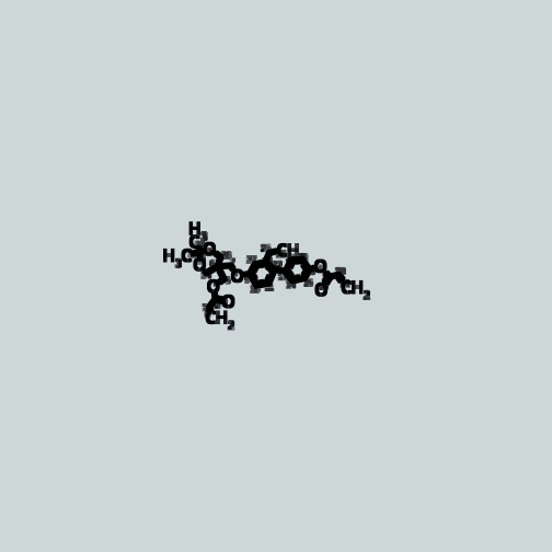 C=CC(=O)OCC1(COc2ccc(-c3ccc(OC(=O)C=C)cc3)c(CC)c2)COC(C)(C)OC1